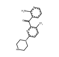 Nc1ncccc1C(=O)c1nc(N2CCNCC2)ccc1C(F)(F)F